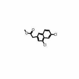 COC(=O)Cc1cc(Cl)c2cc(Cl)ccc2c1